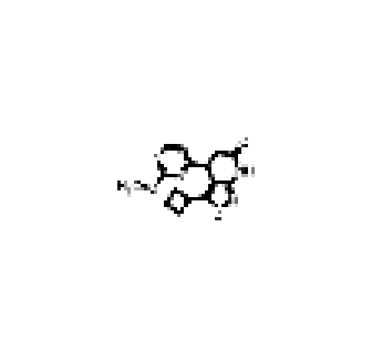 COc1nccc(C2CC(=O)Nc3n[nH]c(C4CCC4)c32)n1